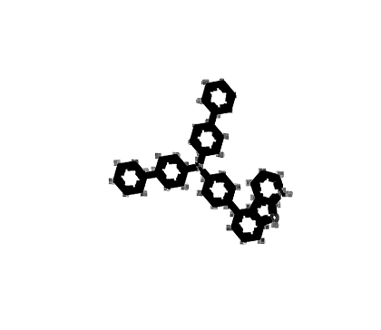 c1ccc(-c2ccc(N(c3ccc(-c4ccccc4)cc3)c3ccc(-c4cccc5oc6ncccc6c45)cc3)cc2)cc1